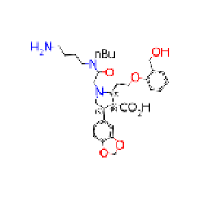 CCCCN(CCCCN)C(=O)CN1C[C@H](c2ccc3c(c2)OCO3)[C@@H](C(=O)O)[C@@H]1CCOc1ccccc1CO